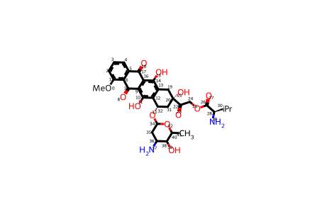 COc1cccc2c1C(=O)c1c(O)c3c(c(O)c1C2=O)C[C@@](O)(C(=O)COC(=O)[C@H](N)C(C)C)C[C@@H]3OC1CC(N)C(O)C(C)O1